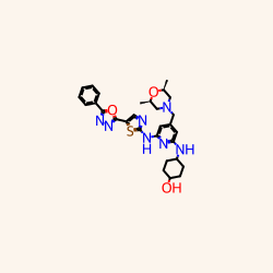 C[C@@H]1CN(Cc2cc(Nc3ncc(-c4nnc(-c5ccccc5)o4)s3)nc(NC3CCC(O)CC3)c2)C[C@H](C)O1